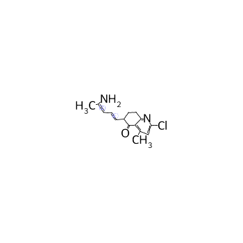 C/C(N)=C/C=C/C1CCc2nc(Cl)cc(C)c2C1=O